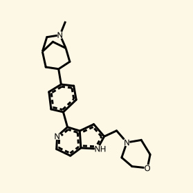 CN1CC2CC(c3ccc(-c4nccc5[nH]c(CN6CCOCC6)cc45)cc3)CC1C2